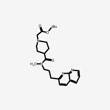 CN(CCCc1ccc2cccnc2n1)C(=O)C1CCN(CC(=O)OC(C)(C)C)CC1